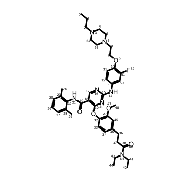 CCCN1CCN(CCOc2ccc(Nc3ncc(C(=O)Nc4c(C)cccc4C)c(Oc4ccc(CCC(=O)N(CC)CC)cc4OC)n3)cc2F)CC1